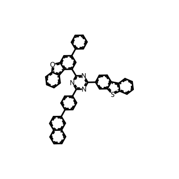 c1ccc(-c2cc(-c3nc(-c4ccc(-c5ccc6ccccc6c5)cc4)nc(-c4ccc5c(c4)sc4ccccc45)n3)c3c(c2)oc2ccccc23)cc1